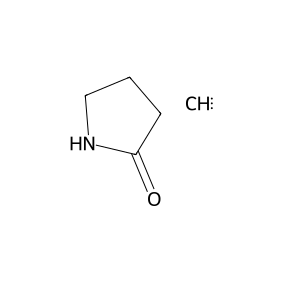 O=C1CCCN1.[CH]